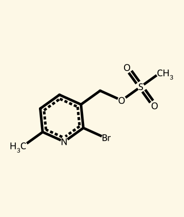 Cc1ccc(COS(C)(=O)=O)c(Br)n1